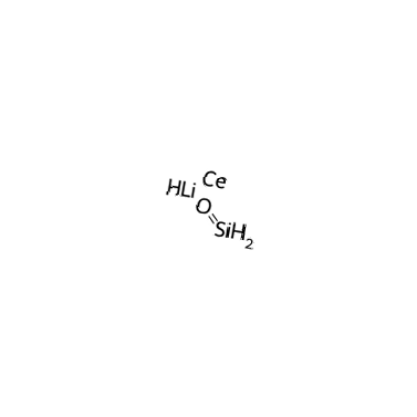 O=[SiH2].[Ce].[LiH]